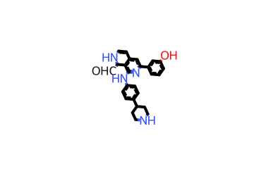 O=CC1NC=Cc2cc(-c3cccc(O)c3)nc(Nc3ccc(C4CCNCC4)cc3)c21